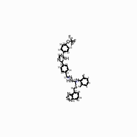 Cc1cccc(C)c1/N=C(/N/N=C/c1ccc(C2N=CN(c3ccc(OC(F)(F)F)cc3)N2)cc1)SCc1cccc2nsnc12